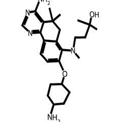 CN(CCC(C)(C)O)c1c(OC2CCC(N)CC2)ccc2c1CC(C)(C)c1c(N)ncnc1-2